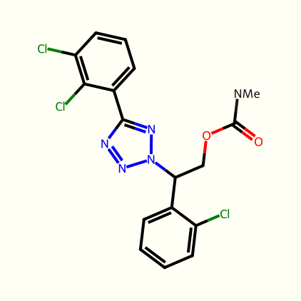 CNC(=O)OCC(c1ccccc1Cl)n1nnc(-c2cccc(Cl)c2Cl)n1